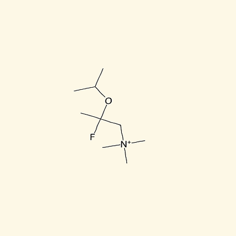 CC(C)OC(C)(F)C[N+](C)(C)C